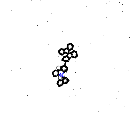 CC12CCCCC1(C)N(c1cccc3ccccc13)c1ccc(-c3ccc4c(c3)-c3ccccc3C43c4ccccc4-c4ccccc43)cc12